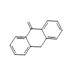 O=C1c2ccccc2[C]c2ccccc21